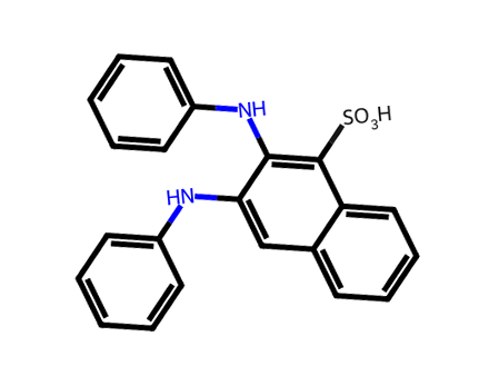 O=S(=O)(O)c1c(Nc2ccccc2)c(Nc2ccccc2)cc2ccccc12